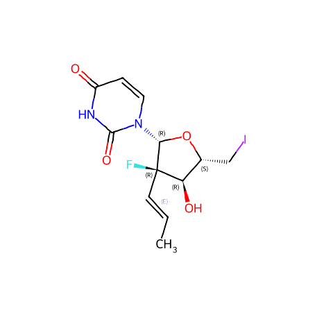 C/C=C/[C@@]1(F)[C@H](O)[C@@H](CI)O[C@H]1n1ccc(=O)[nH]c1=O